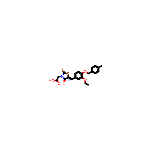 CCOc1cc(/C=C2\SC(=S)N(CC(=O)O)C2=O)ccc1OCc1ccc(C)cc1